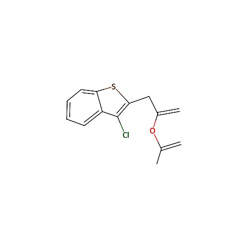 C=C(C)OC(=C)Cc1sc2ccccc2c1Cl